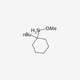 CCCCC1([SiH2]OC)CCCCC1